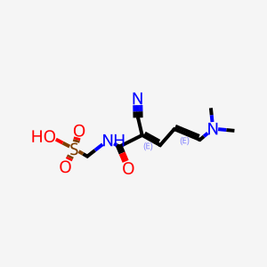 CN(C)/C=C/C=C(\C#N)C(=O)NCS(=O)(=O)O